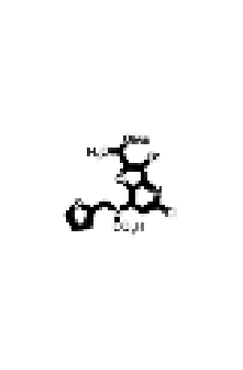 COC(C)c1oc2c(N(Cc3cccs3)C(=O)O)cc(Cl)nc2c1Br